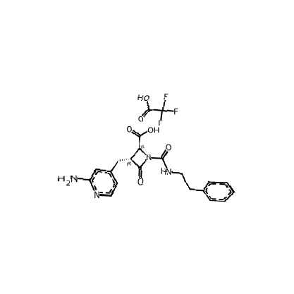 Nc1cc(C[C@H]2C(=O)N(C(=O)NCCc3ccccc3)[C@@H]2C(=O)O)ccn1.O=C(O)C(F)(F)F